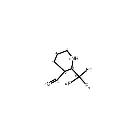 O=CC1CCCNC1C(F)(F)F